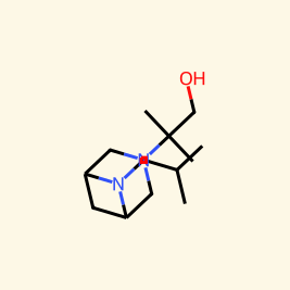 CC(C)CN1C2CC1CN(C(C)(C)CO)C2